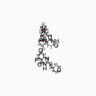 O=C1CCC(Nc2ccc(N3C4CC3CN(CCN3CCC(COc5cc(F)c6c(=O)[nH]c(CSC7CCOCC7)nc6c5)CC3)C4)cc2)C(=O)N1